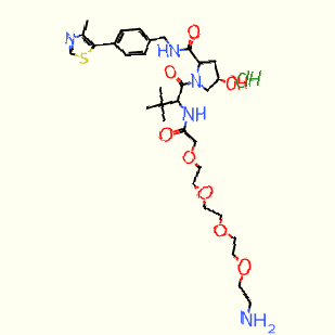 Cc1ncsc1-c1ccc(CNC(=O)C2C[C@@H](O)CN2C(=O)C(NC(=O)COCCOCCOCCOCCN)C(C)(C)C)cc1.Cl